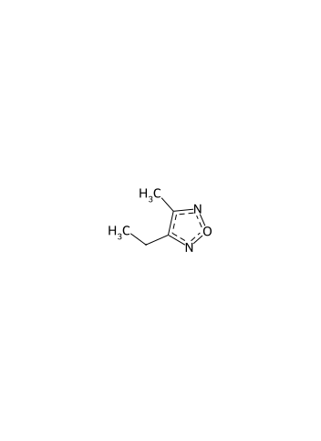 CCc1nonc1C